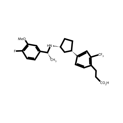 COc1cc([C@@H](C)N[C@@H]2CC[C@H](c3ccc(CCC(=O)O)c(C(F)(F)F)c3)C2)ccc1F